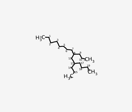 CCCCCCCCC(CCC)CC(CCC)CCCC